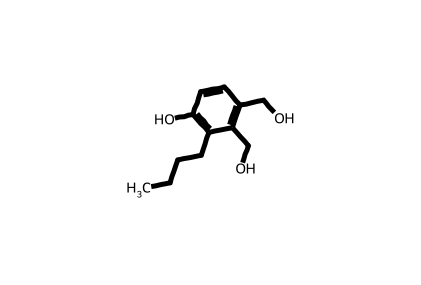 CCCCc1c(O)ccc(CO)c1CO